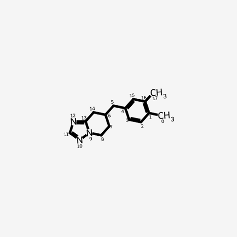 Cc1ccc(CC2CCn3ncnc3C2)cc1C